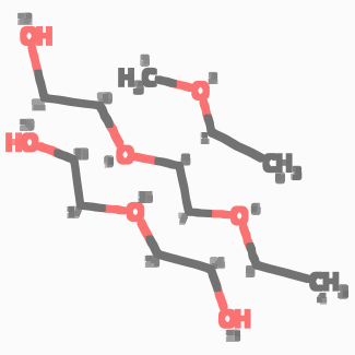 CCOC.CCOCCOCCO.OCCOCCO